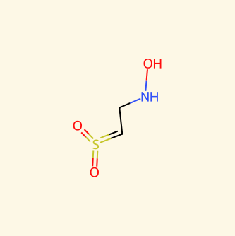 O=S(=O)=CCNO